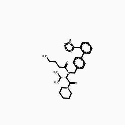 CCCCC(=O)N(Cc1ccc(-c2ccccc2-c2nnn[nH]2)cc1)[C@H](C(=O)N1CCCCC1)C(C)C